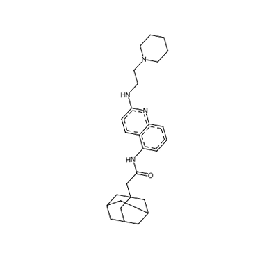 O=C(CC12CC3CC(CC(C3)C1)C2)Nc1cccc2nc(NCCN3CCCCC3)ccc12